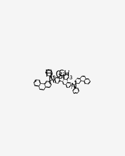 C[Si]1(C)c2cc(N(c3ccccc3)c3ccc4ccc5ccccc5c4c3)ccc2-c2cc3ccc(N(c4ccccc4)c4ccc5ccc6ccccc6c5c4)cc3c3cccc1c23